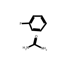 Fc1ccccc1.NC(N)=O